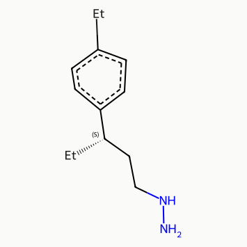 CCc1ccc([C@@H](CC)CCNN)cc1